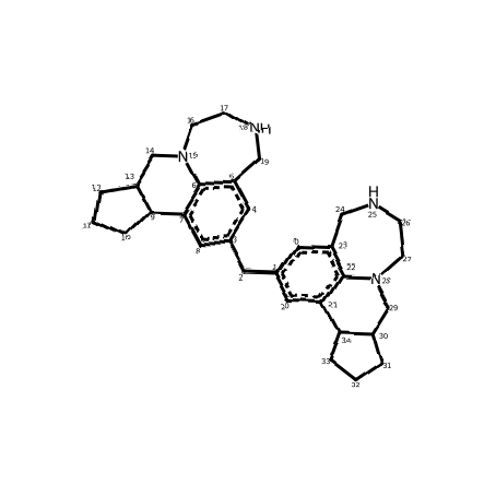 c1c(Cc2cc3c4c(c2)C2CCCC2CN4CCNC3)cc2c3c1CNCCN3CC1CCCC21